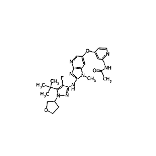 CC(=O)Nc1cc(Oc2cnc3nc(Nc4nn(C5CCOC5)c(C(C)(C)C)c4F)n(C)c3c2)ccn1